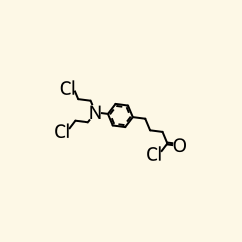 O=C(Cl)CCCc1ccc(N(CCCl)CCCl)cc1